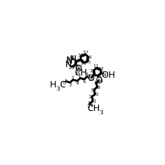 CCCCCCCCOc1cccc(O)c1OCCCCCCCC.COc1cnnnc1-c1ccccc1